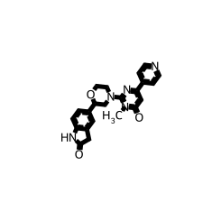 Cn1c(N2CCOC(c3ccc4c(c3)CC(=O)N4)C2)nc(-c2ccncc2)cc1=O